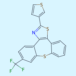 FC(F)(F)c1ccc2c(c1)Sc1ccccc1-c1sc(-c3ccsc3)nc1-2